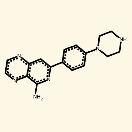 Nc1nc(-c2ccc(N3CCNCC3)cc2)cc2nccnc12